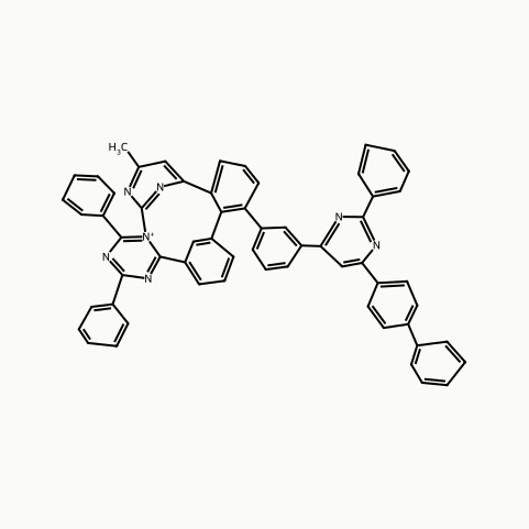 Cc1cc2nc(n1)[n+]1c(-c3ccccc3)nc(-c3ccccc3)nc1c1cccc(c1)c1c(-c3cccc(-c4cc(-c5ccc(-c6ccccc6)cc5)nc(-c5ccccc5)n4)c3)cccc21